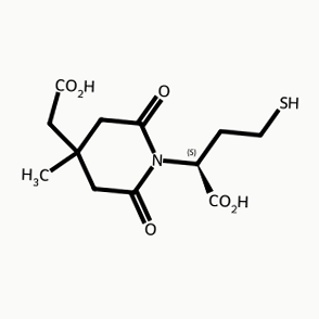 CC1(CC(=O)O)CC(=O)N([C@@H](CCS)C(=O)O)C(=O)C1